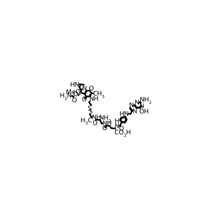 CO[C@]12C3NC3CN1C1=C(C(=O)C(NCCSSC[C@@H](C)NC(=O)[C@H](N)CNC(=O)CC[C@@H](NC(=O)c3ccc(NCc4cnc5nc(N)nc(O)c5n4)cc3)C(=O)O)=C(C)C1=O)[C@H]2COC(N)=O